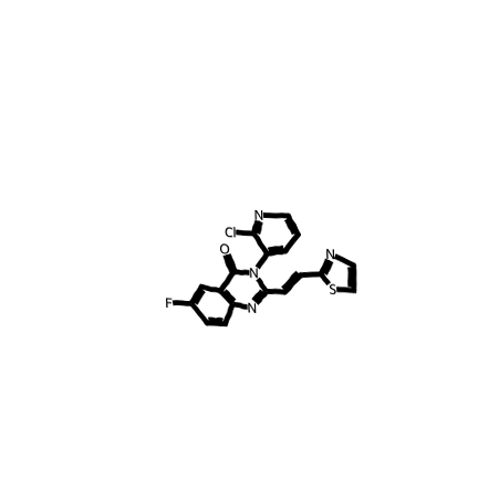 O=c1c2cc(F)ccc2nc(/C=C/c2nccs2)n1-c1cccnc1Cl